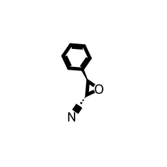 N#C[C@H]1O[C@@H]1c1ccccc1